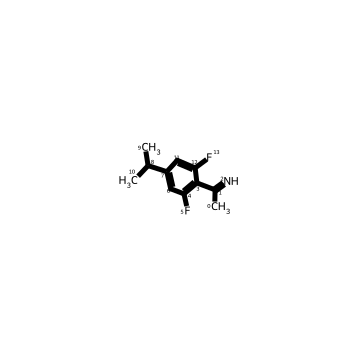 CC(=N)c1c(F)cc(C(C)C)cc1F